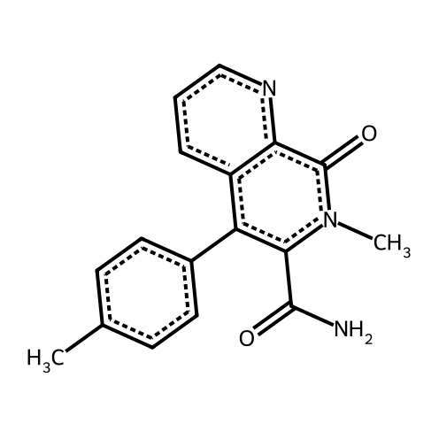 Cc1ccc(-c2c(C(N)=O)n(C)c(=O)c3ncccc23)cc1